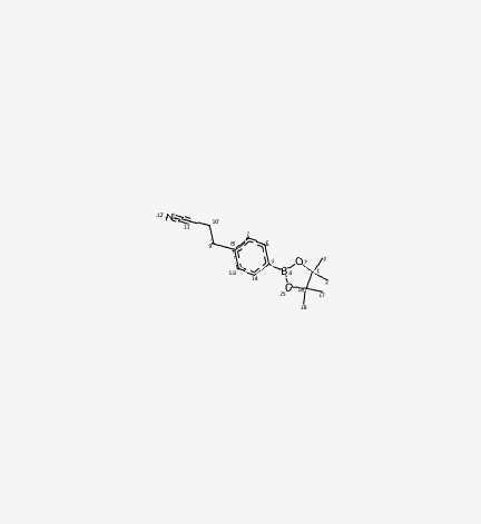 CC1(C)OB(c2ccc(CCC#N)cc2)OC1(C)C